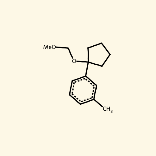 COCOC1(c2cccc(C)c2)CCCC1